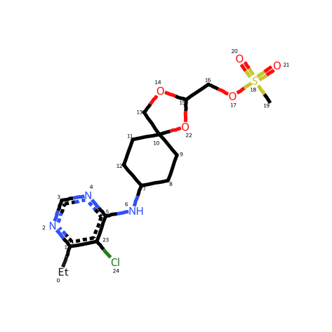 CCc1ncnc(NC2CCC3(CC2)COC(COS(C)(=O)=O)O3)c1Cl